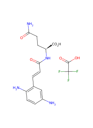 NC(=O)CC[C@H](NC(=O)C=Cc1cc(N)ccc1N)C(=O)O.O=C(O)C(F)(F)F